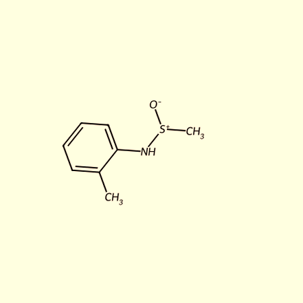 Cc1ccccc1N[S+](C)[O-]